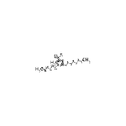 CCCCCCCCN(CCCCCCCC)SN(C)C(=O)F